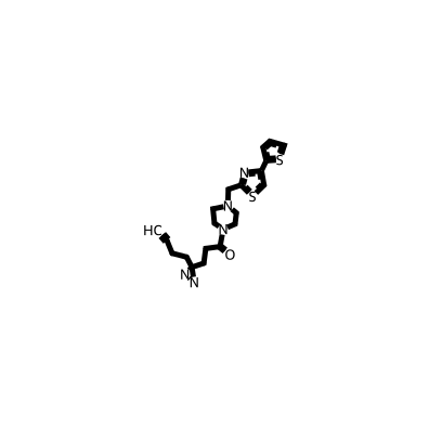 C#CCCC1(CCC(=O)N2CCN(Cc3nc(-c4cccs4)cs3)CC2)N=N1